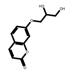 O=c1ccc2ccc(OCC(O)CO)cc2o1